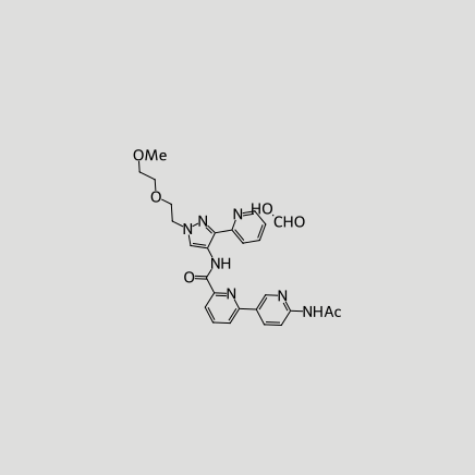 COCCOCCn1cc(NC(=O)c2cccc(-c3ccc(NC(C)=O)nc3)n2)c(-c2ccccn2)n1.O=CO